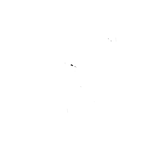 CCC(=O)[C@@H](O)CCN